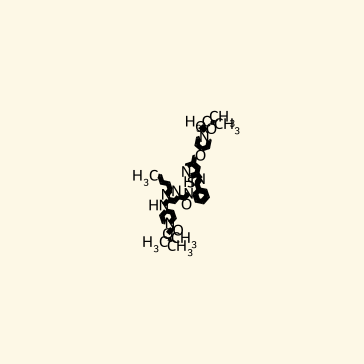 CCCCc1nc(NC2CCN(C(=O)OC(C)(C)C)CC2)cc(C(=O)Nc2ccccc2-c2nc3cc(COC4CCN(C(=O)OC(C)(C)C)CC4)cnc3s2)n1